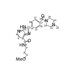 COCCCNC(=O)c1ccnc2[nH]c(-c3ccc(C(=O)N4CCN(C)CC4)cc3)nc12